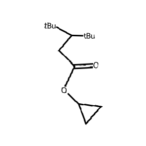 CC(C)(C)C(CC(=O)OC1CC1)C(C)(C)C